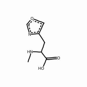 CNC(Cc1cocn1)C(=O)O